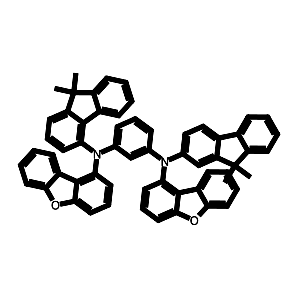 CC1(C)c2ccccc2-c2ccc(N(c3cccc(N(c4cccc5c4-c4ccccc4C5(C)C)c4cccc5oc6ccccc6c45)c3)c3cccc4oc5ccccc5c34)cc21